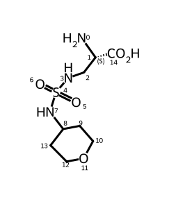 N[C@@H](CNS(=O)(=O)NC1CCOCC1)C(=O)O